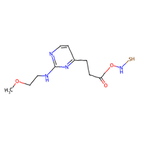 COCCNc1nccc(CCC(=O)ONS)n1